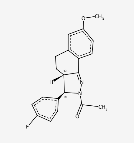 COc1ccc2c(c1)CC[C@@H]1C2=NN(C(C)=O)[C@H]1c1ccc(F)cc1